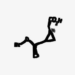 CCOC(=O)C1C[C@@H]1C(=O)O